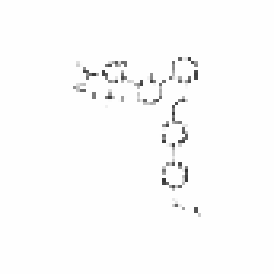 COc1ccc(-c2ccc(COc3ccccc3-c3nccc(-n4ncc(C(=O)O)c4C(F)(F)F)n3)cc2)cc1